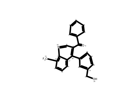 O=C(c1ccccc1)c1cnc2c(C(F)(F)F)cccc2c1-c1cccc(CO)c1